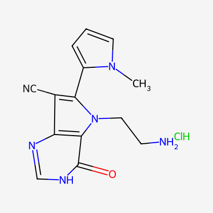 Cl.Cn1cccc1-c1c(C#N)c2nc[nH]c(=O)c2n1CCN